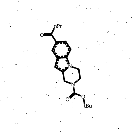 CCCC(=O)c1ccc2c(c1)cc1n2CCN(C(=O)OC(C)(C)C)C1